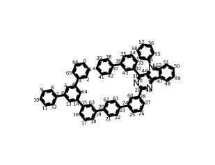 c1ccc(-c2cc(-c3ccccc3)cc(-c3cccc(-c4ccc(-c5cccc(-c6nc(-c7cccc(-c8ccccc8)c7)c7c(n6)c6ccccc6n7-c6ccccc6)c5)cc4)c3)c2)cc1